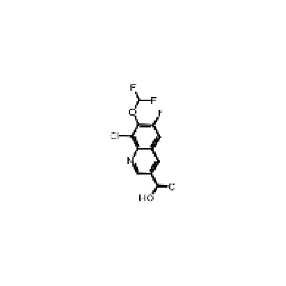 O=C(O)c1cnc2c(Cl)c(OC(F)F)c(F)cc2c1